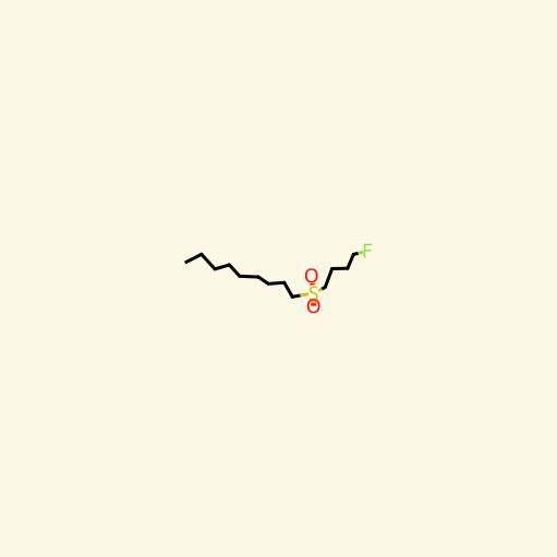 CCCCCCCCCS(=O)(=O)CCCCF